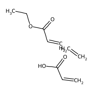 C=C.C=CC(=O)O.C=CC(=O)OCC